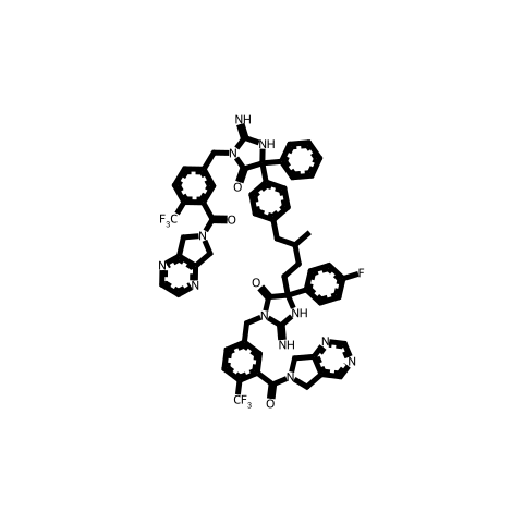 CC(CCC1(c2ccc(F)cc2)NC(=N)N(Cc2ccc(C(F)(F)F)c(C(=O)N3Cc4cncnc4C3)c2)C1=O)Cc1ccc(C2(c3ccccc3)NC(=N)N(Cc3ccc(C(F)(F)F)c(C(=O)N4Cc5nccnc5C4)c3)C2=O)cc1